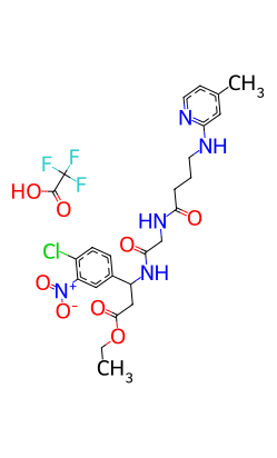 CCOC(=O)CC(NC(=O)CNC(=O)CCCNc1cc(C)ccn1)c1ccc(Cl)c([N+](=O)[O-])c1.O=C(O)C(F)(F)F